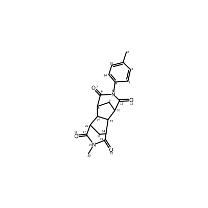 Cc1ccc(N2C(=O)C3CC(C2=O)C2C4CC(C(=O)N(C)C4=O)C32)cc1